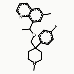 Cc1cc(C(C)OCC2(c3ccc(F)cc3)CCN(C)CC2)c2ncccc2c1